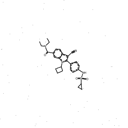 CCN(CC)C(=O)c1ccc2c(C#N)c(-c3ccc(NS(=O)(=O)C4CC4)cc3)n(C3CCC3)c2c1